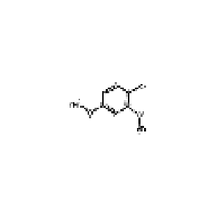 CCCOc1ccc(Cl)c(OCCC)c1